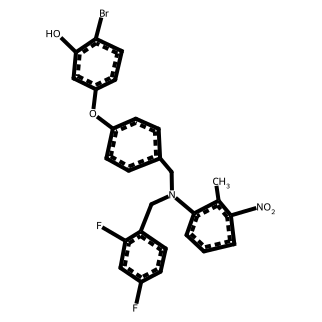 Cc1c(N(Cc2ccc(Oc3ccc(Br)c(O)c3)cc2)Cc2ccc(F)cc2F)cccc1[N+](=O)[O-]